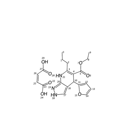 CCCC1=C(C(=O)OCC)C(c2ccco2)c2c[nH]nc2N1.O=C(O)/C=C\C(=O)O